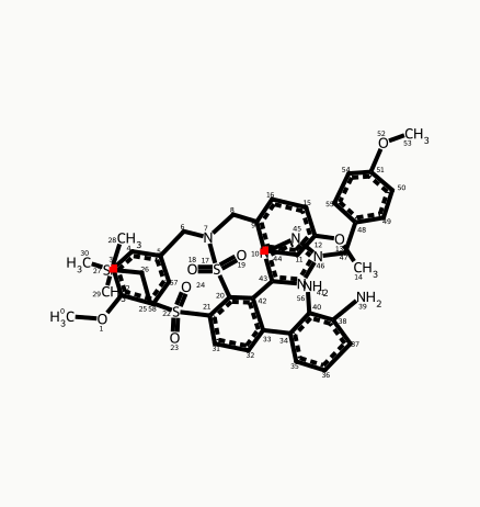 COc1ccc(CN(Cc2ccc(OC)cc2)S(=O)(=O)c2c(S(=O)(=O)CC[Si](C)(C)C)ccc(-c3cccc(N)c3N)c2-c2nnn(Cc3ccc(OC)cc3)n2)cc1